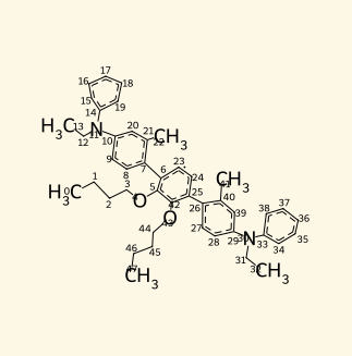 CCCCOc1c(-c2ccc(N(CC)c3ccccc3)cc2C)[c]cc(-c2ccc(N(CC)c3ccccc3)cc2C)c1OCCCC